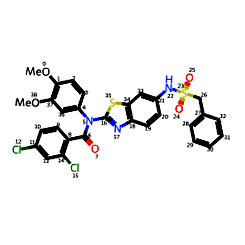 COc1ccc(N(C(=O)c2ccc(Cl)cc2Cl)c2nc3ccc(NS(=O)(=O)Cc4ccccc4)cc3s2)cc1OC